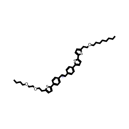 CCCCCCCCOCCc1ccc(-c2ccc(-c3ccc(/C=C/c4ccc(-c5ccc(CCOCCOCCCC)s5)cc4)cc3)s2)s1